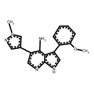 COc1ccccc1-c1c[nH]c2ncc(-c3cnn(C)c3)c(N)c12